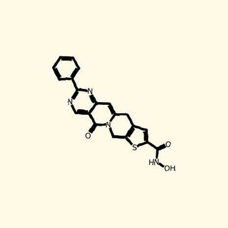 O=C(NO)c1cc2c(s1)Cn1c(cc3nc(-c4ccccc4)ncc3c1=O)C2